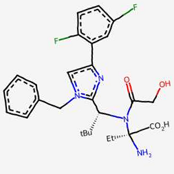 CC[C@@](N)(C(=O)O)N(C(=O)CO)[C@@H](c1nc(-c2cc(F)ccc2F)cn1Cc1ccccc1)C(C)(C)C